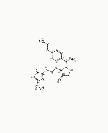 NC(c1ccc(CCO)cc1)[C@H]1CCC(=O)N1CCSc1nc(C(=O)O)cs1